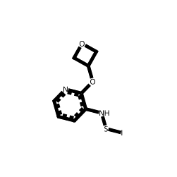 ISNc1cccnc1OC1COC1